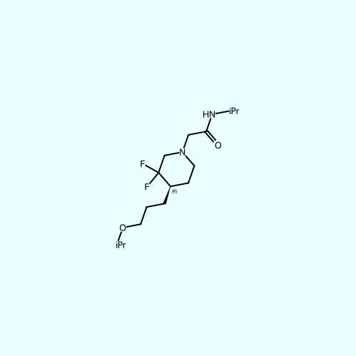 CC(C)NC(=O)CN1CC[C@@H](CCCOC(C)C)C(F)(F)C1